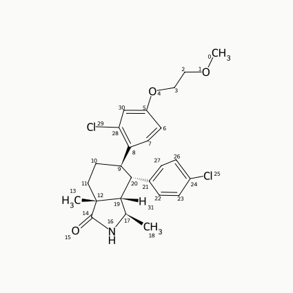 COCCOc1ccc([C@@H]2CC[C@@]3(C)C(=O)N[C@H](C)[C@H]3[C@H]2c2ccc(Cl)cc2)c(Cl)c1